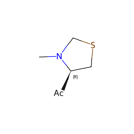 CC(=O)[C@@H]1CSCN1C